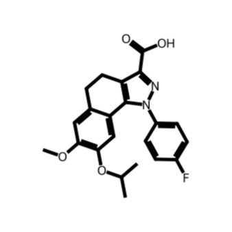 COc1cc2c(cc1OC(C)C)-c1c(c(C(=O)O)nn1-c1ccc(F)cc1)CC2